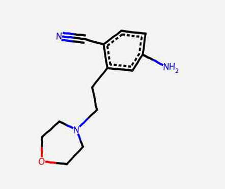 N#Cc1ccc(N)cc1CCN1CCOCC1